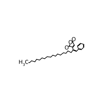 CCCCCCCCCCCCCCCCCCC(=Cc1ccccc1)C1=CC(=O)OC1=O